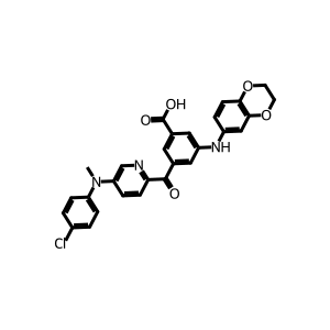 CN(c1ccc(Cl)cc1)c1ccc(C(=O)c2cc(Nc3ccc4c(c3)OCCO4)cc(C(=O)O)c2)nc1